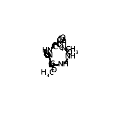 COc1ccc2cc1CNCCCNC(=O)[C@H](C)NCc1cc(ccc1N1CCOCC1)Nc1nccc-2n1